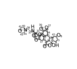 COc1ccc(C2(O)OC(=O)C(c3ccc4c(c3)OCO4)=C2Cc2cc(OC)c(OC)c(OCC(=O)NCCN3CCOCC3)c2)cc1